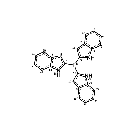 c1ccc2[nH]c(P(c3cc4ccccc4[nH]3)c3cc4ccccc4[nH]3)cc2c1